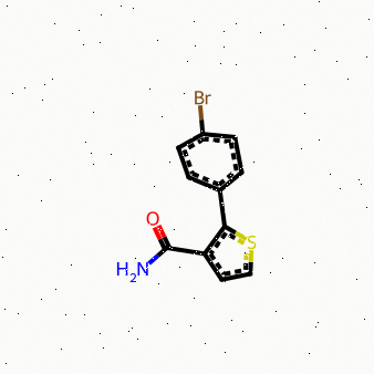 NC(=O)c1ccsc1-c1ccc(Br)cc1